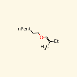 CCCCCCCO/C=C(\C)CC